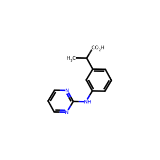 CC(C(=O)O)c1cccc(Nc2ncccn2)c1